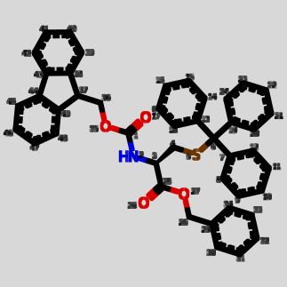 O=C(N[C@@H](CSC(c1ccccc1)(c1ccccc1)c1ccccc1)C(=O)OCc1ccccc1)OCC1c2ccccc2-c2ccccc21